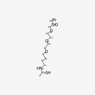 CC(S)NCCCCOCCOCCOCC(=O)C(C)C